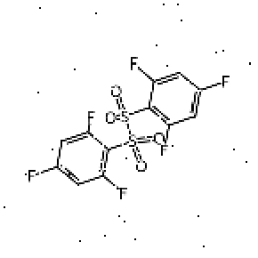 O=S(=O)(c1c(F)cc(F)cc1F)S(=O)(=O)c1c(F)cc(F)cc1F